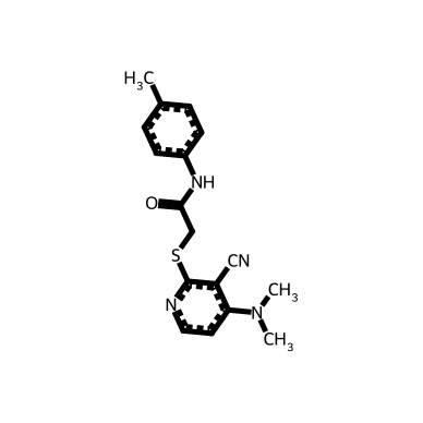 Cc1ccc(NC(=O)CSc2nccc(N(C)C)c2C#N)cc1